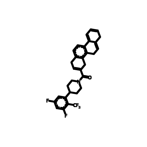 O=C(C1=CCc2ccc3c(c2C1)CC=C1CC=CC=C13)N1CCC(c2cc(F)cc(F)c2C(F)(F)F)CC1